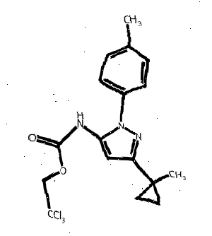 Cc1ccc(-n2nc(C3(C)CC3)cc2NC(=O)OCC(Cl)(Cl)Cl)cc1